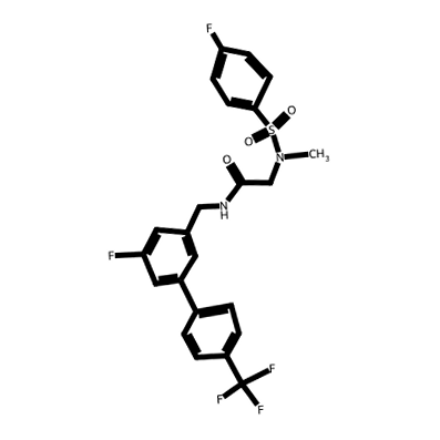 CN(CC(=O)NCc1cc(F)cc(-c2ccc(C(F)(F)F)cc2)c1)S(=O)(=O)c1ccc(F)cc1